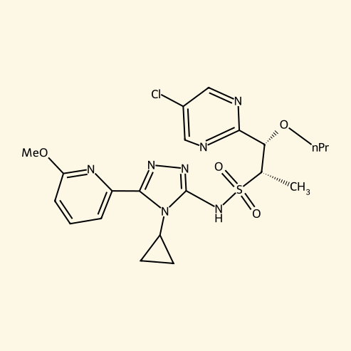 CCCO[C@@H](c1ncc(Cl)cn1)[C@H](C)S(=O)(=O)Nc1nnc(-c2cccc(OC)n2)n1C1CC1